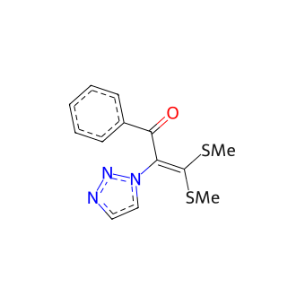 CSC(SC)=C(C(=O)c1ccccc1)n1ccnn1